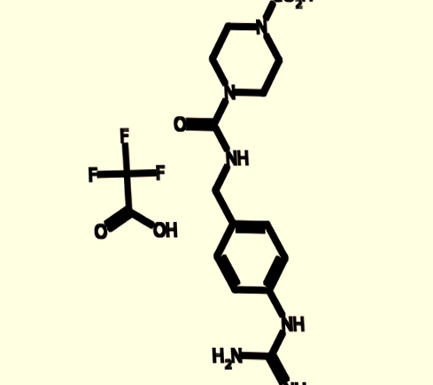 N=C(N)Nc1ccc(CNC(=O)N2CCN(C(=O)O)CC2)cc1.O=C(O)C(F)(F)F